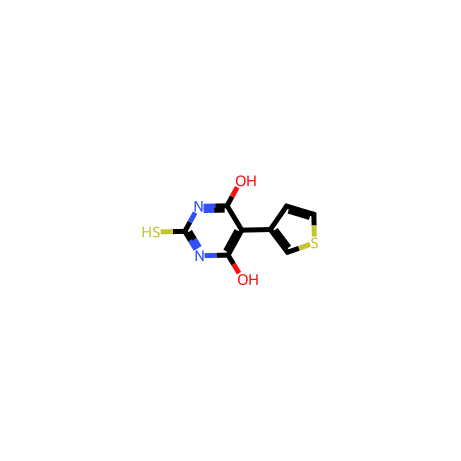 Oc1nc(S)nc(O)c1-c1ccsc1